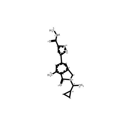 CNC(=O)c1cc(-c2cc(C)c3c(c2)CN(C(C)C2CC2)C3=O)on1